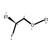 CCOC[C@@H](F)CC